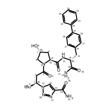 CC(C)(C)[C@@H](CC(=O)N1C[C@H](O)C[C@H]1C(=O)N[C@H](Cc1ccc(-c2ccccc2)cc1)C(N)=O)n1cc(C(N)=O)nn1